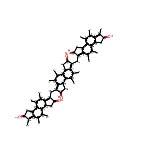 CC1=c2c(C)c(C)c3c4c(c(C)c(C)c3c2CC1=O)=C(CC1=c2c(C)c(C)c3c5c(c(C)c(C)c3c2CC1=O)=C(CC1=c2c(C)c(C)c3c6c(c(C)c(C)c3c2CC1=O)=C(C)C(=O)C6)C(=O)C5)C(=O)C4